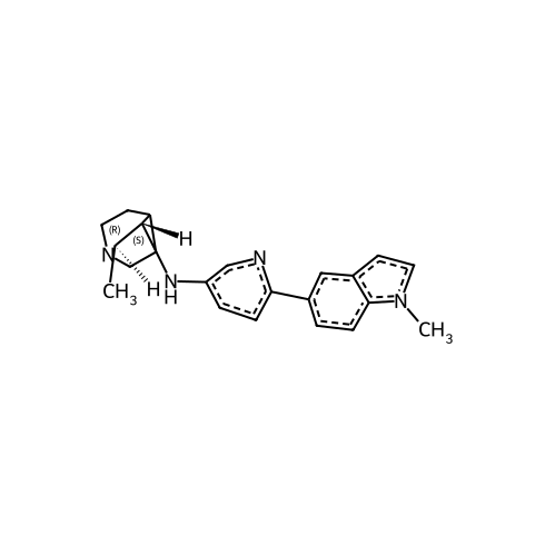 C[C@@H]1[C@@H](Nc2ccc(-c3ccc4c(ccn4C)c3)nc2)C2CCN1CC2